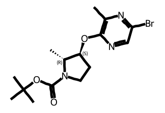 Cc1nc(Br)cnc1O[C@H]1CCN(C(=O)OC(C)(C)C)[C@@H]1C